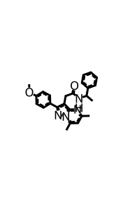 COc1ccc(-c2nn3c(C)cc(C)nc3c2CC(=O)NC(C)c2ccccc2)cc1